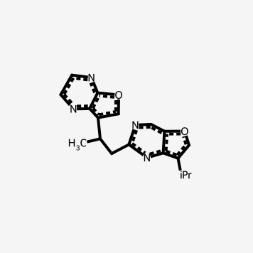 CC(C)c1coc2cnc(CC(C)c3coc4nccnc34)nc12